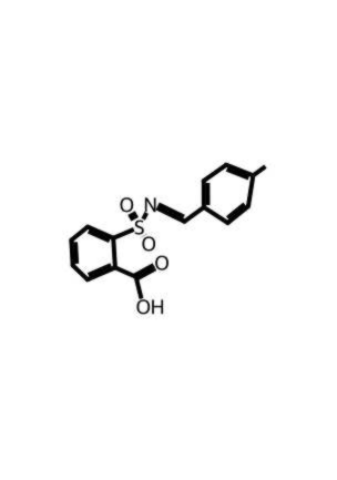 Cc1ccc(/C=N/S(=O)(=O)c2ccccc2C(=O)O)cc1